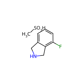 CS(=O)(=O)O.Fc1cccc2c1CNC2